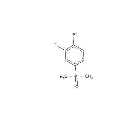 CC(C)c1ccc(P(C)(C)=O)cc1F